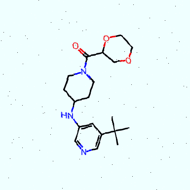 CC(C)(C)c1cncc(NC2CCN(C(=O)C3COCCO3)CC2)c1